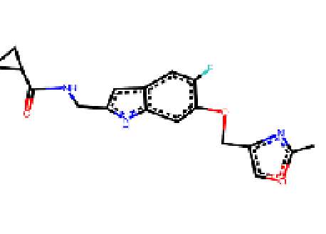 Cc1nc(COc2cc3[nH]c(CNC(=O)C4CC4)cc3cc2F)co1